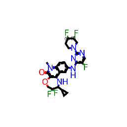 Cn1c(=O)c2c(c3cc(Nc4nc(N5CC[C@@H](F)[C@@H](F)C5)ncc4F)ccc31)NC(C1CC1)C(F)(F)CO2